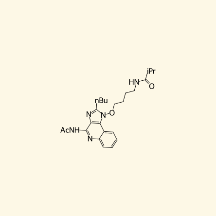 CCCCc1nc2c(NC(C)=O)nc3ccccc3c2n1OCCCCNC(=O)C(C)C